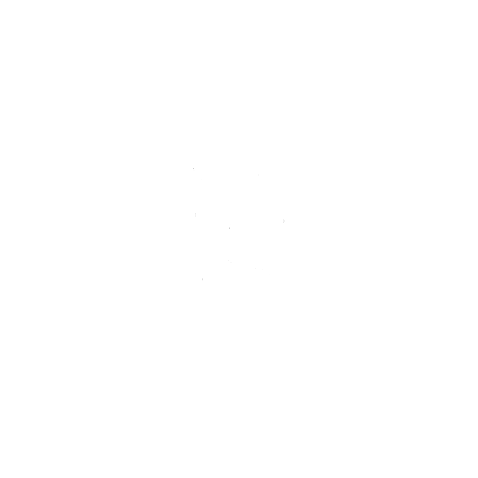 COC(=O)C(C=O)C(C)C